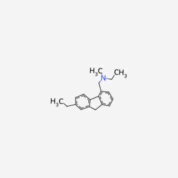 CCc1ccc2c(c1)Cc1cccc(CN(C)CC)c1-2